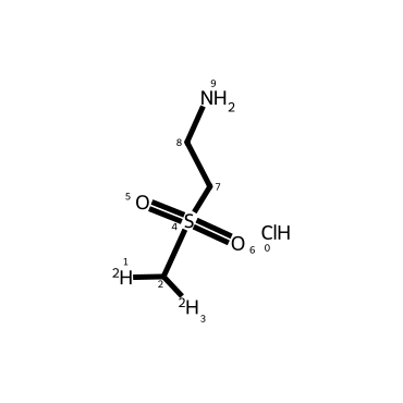 Cl.[2H]C([2H])S(=O)(=O)CCN